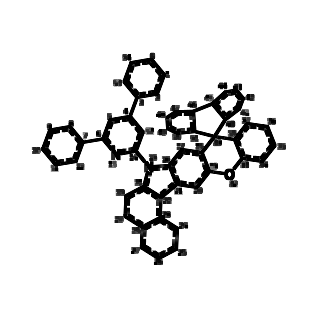 c1ccc(-c2cc(-c3ccccc3)nc(-n3c4cc5c(cc4c4c6ccccc6ccc43)Oc3ccccc3C53c4ccccc4-c4ccccc43)c2)cc1